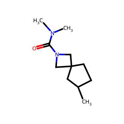 CC1CCC2(C1)CN(C(=O)N(C)C)C2